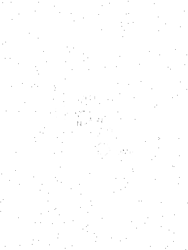 CCCCOc1cc(=NC(=O)Oc2cccc(OC)c2)cnn1-c1ccccc1